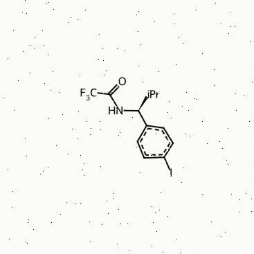 CC(C)[C@H](NC(=O)C(F)(F)F)c1ccc(I)cc1